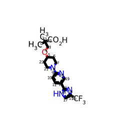 CC(C)(COC1CCN(c2ccc(-c3nc(C(F)(F)F)c[nH]3)cn2)CC1)C(=O)O